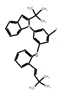 CC(C)(C)/C=C/c1ccccc1Nc1cc(F)cc(-n2c(C(C)(C)C)cc3ccccc32)c1